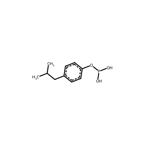 CC(C)Cc1ccc(OP(O)O)cc1